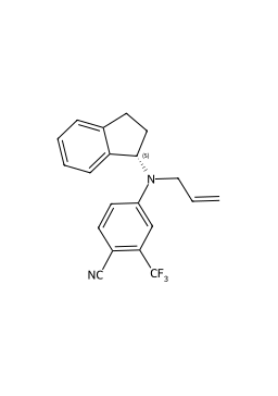 C=CCN(c1ccc(C#N)c(C(F)(F)F)c1)[C@H]1CCc2ccccc21